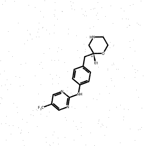 CC[C@@]1(Cc2ccc(Nc3ncc(C(F)(F)F)cn3)cc2)CNCCO1